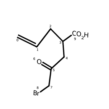 C=CCC(CC(=O)CBr)C(=O)O